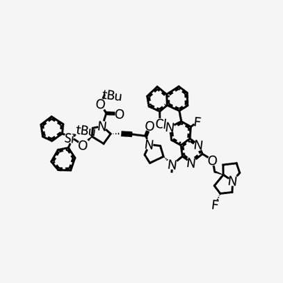 CN(c1nc(OC[C@@]23CCCN2C[C@H](F)C3)nc2c(F)c(-c3cccc4cccc(Cl)c34)ncc12)[C@@H]1CCN(C(=O)C#C[C@@H]2C[C@@H](O[Si](c3ccccc3)(c3ccccc3)C(C)(C)C)CN2C(=O)OC(C)(C)C)C1